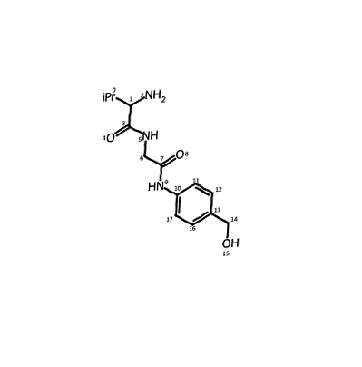 CC(C)C(N)C(=O)NCC(=O)Nc1ccc(CO)cc1